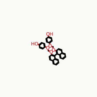 Oc1ccc(OCOc2ccc3ccccc3c2-c2c(OCOc3ccc(O)cc3)ccc3ccccc23)cc1